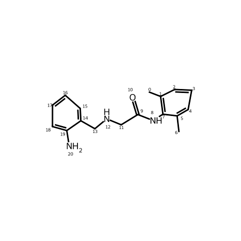 Cc1cccc(C)c1NC(=O)CNCc1ccccc1N